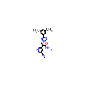 Cc1cc(C)cc(-c2ncn(/C=C(\C(N)=O)c3cncc(C#N)c3)n2)c1